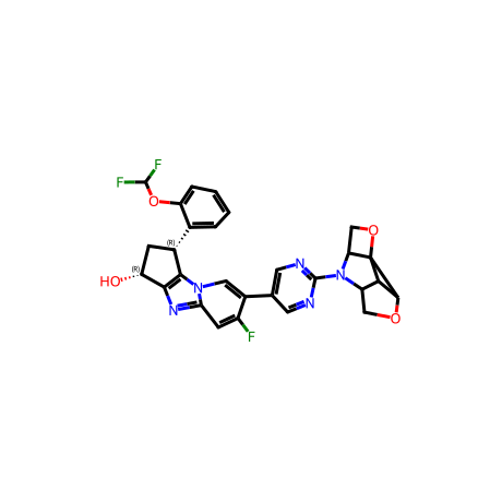 O[C@@H]1C[C@H](c2ccccc2OC(F)F)c2c1nc1cc(F)c(-c3cnc(N4C5COC6C5C65OCC45)nc3)cn21